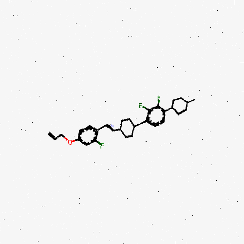 C=CCOc1ccc(/C=C/C2CCC(c3ccc(C4CCC(C)CC4)c(F)c3F)CC2)c(F)c1